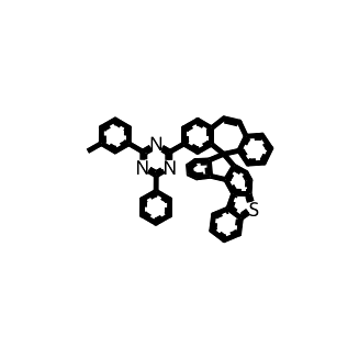 Cc1cccc(-c2nc(-c3ccccc3)nc(-c3ccc4c(c3)C3(c5ccccc5C=C4)c4ccccc4-c4c3ccc3sc5ccccc5c43)n2)c1